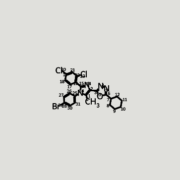 Cc1c(-c2nnc(C3CCCCC3)o2)nc(-c2ccc(Cl)cc2Cl)n1-c1ccc(Br)cc1